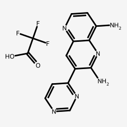 Nc1nc2c(N)ccnc2cc1-c1ccncn1.O=C(O)C(F)(F)F